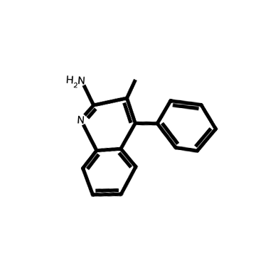 Cc1c(N)nc2ccccc2c1-c1ccccc1